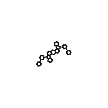 c1ccc(-c2cccc(-n3c4ccccc4c4c5c(ccc43)Cc3c(ccc4c3c3ccccc3n4-c3cccc(-c4ccccc4)c3)C5)c2)cc1